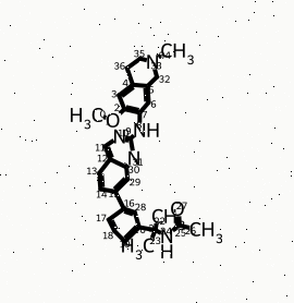 COc1cc2c(cc1Nc1ncc3ccc(-c4cccc(C(C)(C)NC(C)=O)c4)cc3n1)CN(C)CC2